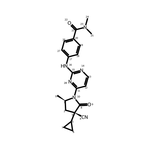 C[C@@H]1C[C@@](C#N)(C2CC2)C(=O)N1c1ccnc(Nc2ccc(C(=O)N(C)C)cc2)n1